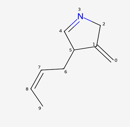 C=C1CN=CC1C/C=C\C